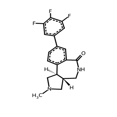 CN1C[C@H]2CNC(=O)c3cc(-c4cc(F)c(F)c(F)c4)ccc3[C@@H]2C1